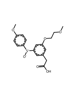 COCCOc1cc(CC(=O)O)cc([S+]([O-])c2ccc(OC)cc2)c1